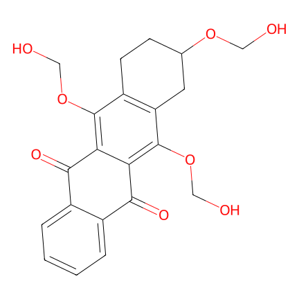 O=C1c2ccccc2C(=O)c2c(OCO)c3c(c(OCO)c21)CCC(OCO)C3